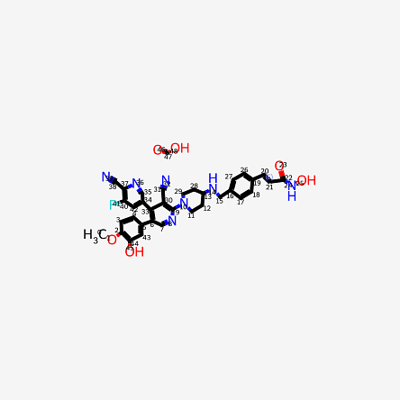 COc1ccc(-c2cnc(N3CCC(NCc4ccc(/C=C/C(=O)NO)cc4)CC3)c(C#N)c2-c2cnc(C#N)c(F)c2)cc1O.O=CO